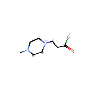 CN1CCN(CCC(=O)Cl)CC1